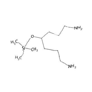 C[Si](C)(C)OC(CCCN)CCCN